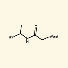 CCCCCCC(=O)NC(C)C(C)C